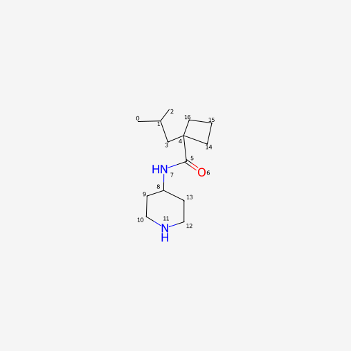 CC(C)CC1(C(=O)NC2CCNCC2)CCC1